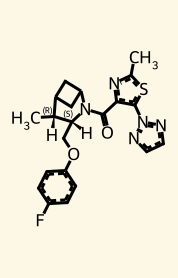 Cc1nc(C(=O)N2C3CC(C3)[C@@H](C)[C@H]2COc2ccc(F)cc2)c(-n2nccn2)s1